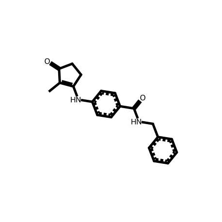 CC1=C(Nc2ccc(C(=O)NCc3ccccc3)cc2)CCC1=O